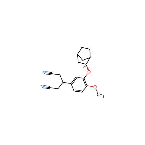 COc1ccc(C(CC#N)CC#N)cc1O[C@H]1CC2CCC1C2